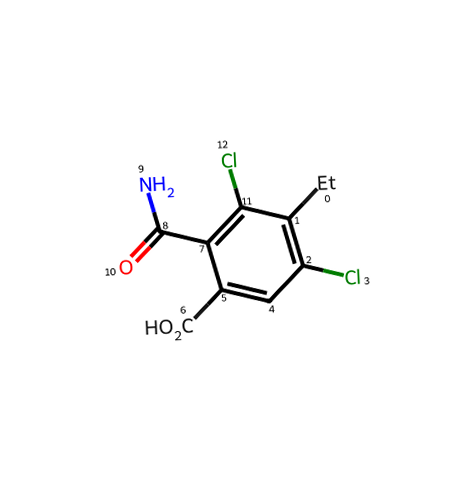 CCc1c(Cl)cc(C(=O)O)c(C(N)=O)c1Cl